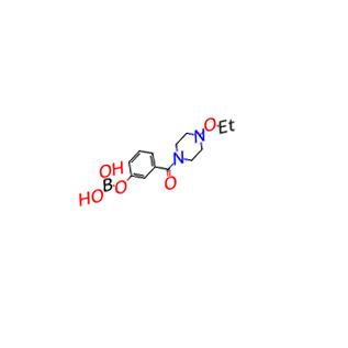 CCON1CCN(C(=O)c2cccc(OB(O)O)c2)CC1